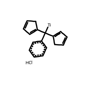 Cl.[Ti][C](C1=CC=CC1)(C1=CC=CC1)c1ccccc1